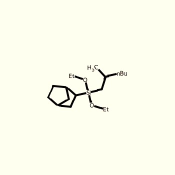 CCCCC(C)C[Si](OCC)(OCC)C1CC2CCC1C2